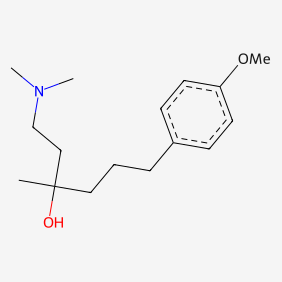 COc1ccc(CCCC(C)(O)CCN(C)C)cc1